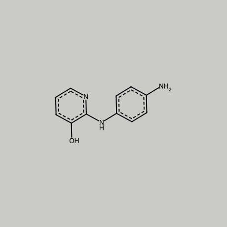 Nc1ccc(Nc2ncccc2O)cc1